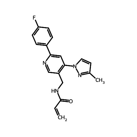 C=CC(=O)NCc1cnc(-c2ccc(F)cc2)cc1-n1ccc(C)n1